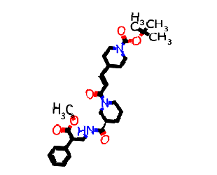 COC(=O)C(CNC(=O)[C@@H]1CCCN(C(=O)/C=C/C2CCN(C(=O)OC(C)(C)C)CC2)C1)c1ccccc1